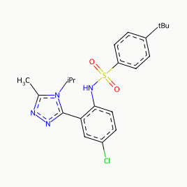 Cc1nnc(-c2cc(Cl)ccc2NS(=O)(=O)c2ccc(C(C)(C)C)cc2)n1C(C)C